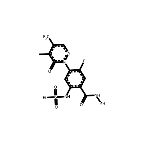 CCS(=O)(=O)Nc1cc(-n2ncc(C(F)(F)F)c(C)c2=O)c(F)cc1C(=O)NS